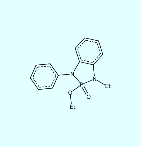 CCOP1(=O)N(CC)c2ccccc2N1c1ccccc1